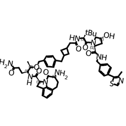 Cc1ncsc1-c1ccc(CNC(=O)[C@@H]2C[C@@H](O)CN2C(=O)[C@@H](NC(=O)CC2CC(Cc3ccc(CO[C@H](C)[C@H](CCC(N)=O)NC(=O)[C@@H]4Cc5cccc6c5N4C(=O)[C@@H](N)CC6)cc3)C2)C(C)(C)C)cc1